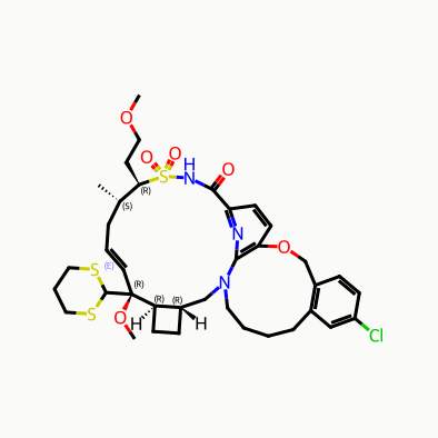 COCC[C@@H]1[C@@H](C)C/C=C/[C@@](OC)(C2SCCCS2)[C@@H]2CC[C@H]2CN2CCCCc3cc(Cl)ccc3COc3ccc(nc32)C(=O)NS1(=O)=O